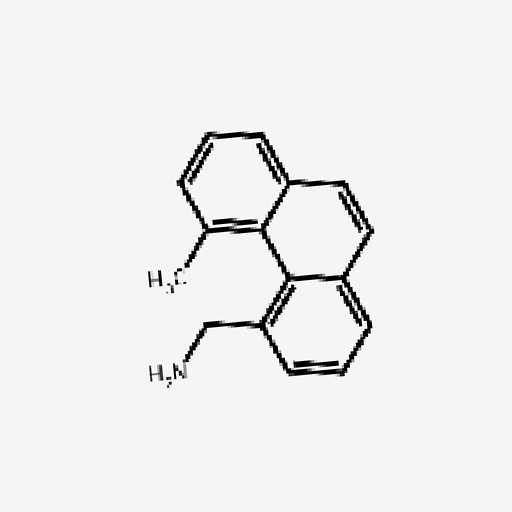 Cc1cccc2ccc3cccc(CN)c3c12